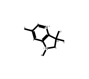 Cc1cnc2c(c1)N(C)CC2(C)C